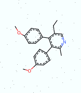 CCc1[c]nc(C)c(-c2ccc(OC)cc2)c1-c1ccc(OC)cc1